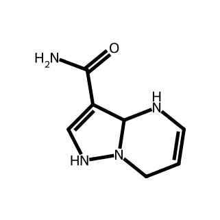 NC(=O)C1=CNN2CC=CNC12